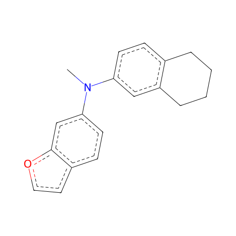 CN(c1ccc2c(c1)CCCC2)c1ccc2ccoc2c1